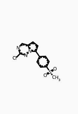 CS(=O)(=O)c1ccc(-c2ccc3cnc(Cl)nn23)cc1